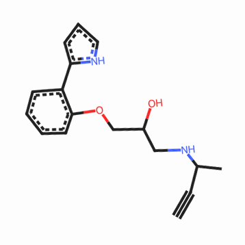 C#CC(C)NCC(O)COc1ccccc1-c1ccc[nH]1